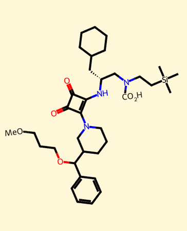 COCCCOC(c1ccccc1)C1CCCN(c2c(N[C@H](CC3CCCCC3)CN(CC[Si](C)(C)C)C(=O)O)c(=O)c2=O)C1